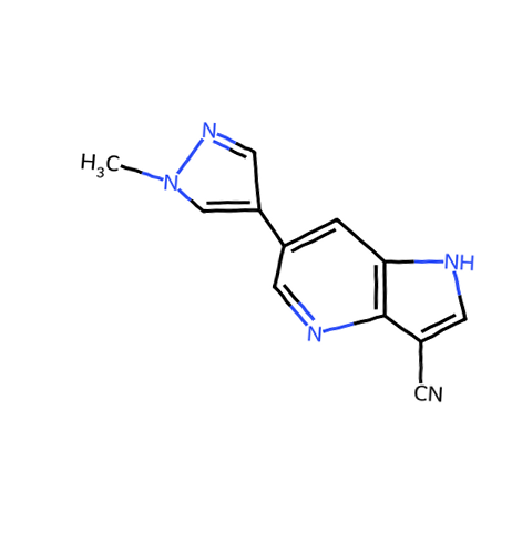 Cn1cc(-c2cnc3c(C#N)c[nH]c3c2)cn1